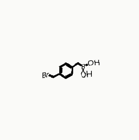 OB(O)Cc1ccc(CBr)cc1